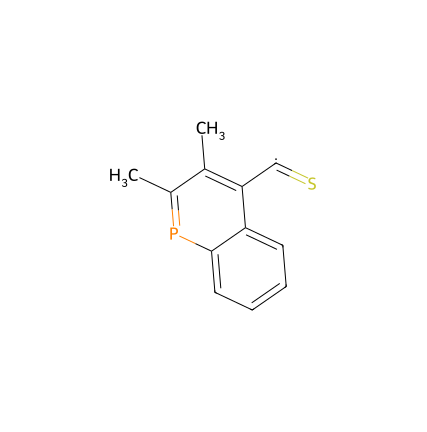 Cc1pc2ccccc2c([C]=S)c1C